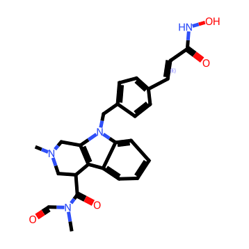 CN1Cc2c(c3ccccc3n2Cc2ccc(/C=C/C(=O)NO)cc2)C(C(=O)N(C)C=O)C1